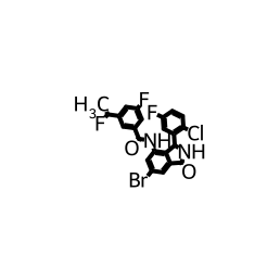 CC(F)c1cc(F)cc(C(=O)Nc2cc(Br)cc3c2C(c2cc(F)ccc2Cl)NC3=O)c1